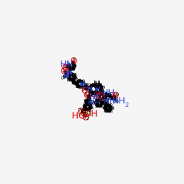 Cn1c(=O)n(C2CCC(=O)NC2=O)c2ccc(CC3CCN(CC(=O)N4CC[C@H]5CC[C@@H](C(=O)NC(CCC(N)=O)C(=O)NC(c6ccccc6)c6ccccc6)N5C(=O)[C@@H](NC(=O)c5cc6cc(C(=O)P(=O)(O)O)ccc6[nH]5)C4)CC3)cc21